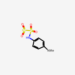 CNc1ccc(NS(=O)(=O)[SH](=O)=O)cc1